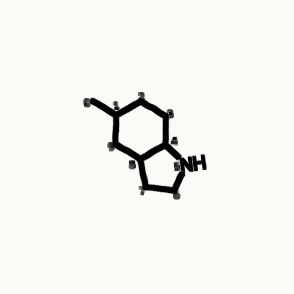 CC1CCC2NCCC2C1